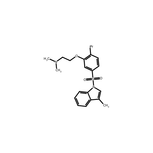 Cc1cn(S(=O)(=O)c2ccc(C(C)C)c(OCCN(C)C)c2)c2ccccc12